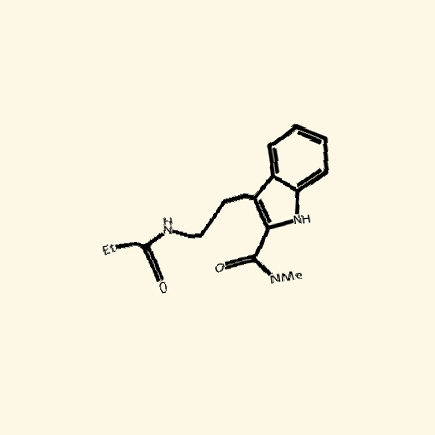 CCC(=O)NCCc1c(C(=O)NC)[nH]c2ccccc12